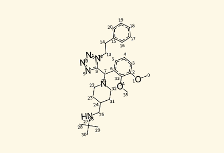 COc1cccc(C(c2nnnn2CCc2ccccc2)N2CCC(CNC(C)(C)C)CC2)c1OC